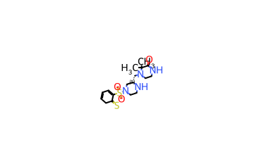 CC1(C)C(=O)NCCN1C[C@H]1CN(S(=O)(=O)C2=CC=CCC2=S)CCN1